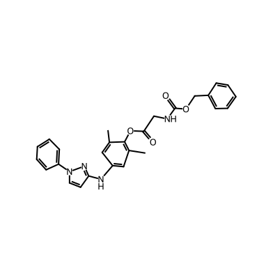 Cc1cc(Nc2ccn(-c3ccccc3)n2)cc(C)c1OC(=O)CNC(=O)OCc1ccccc1